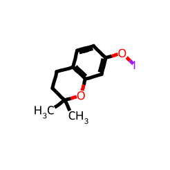 CC1(C)CCc2ccc(OI)cc2O1